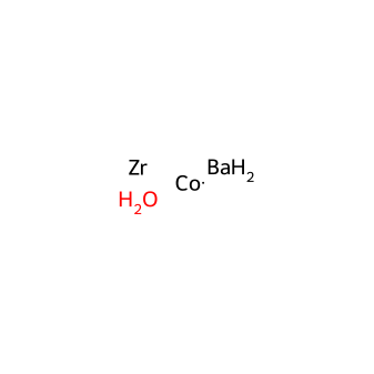 O.[BaH2].[Co].[Zr]